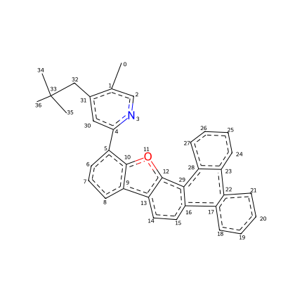 Cc1cnc(-c2cccc3c2oc2c3ccc3c4ccccc4c4ccccc4c32)cc1CC(C)(C)C